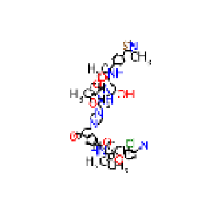 Cc1ncsc1-c1ccc([C@H](C)NC(=O)C2C[C@@H](O)CN2C(=O)[C@@H](NC(=O)CN2CCN(CCC3(c4ccc(C(=O)NC5C(C)(C)C(Oc6ccc(C#N)c(Cl)c6)C5(C)C)cc4)COC3)CC2)C(C)(C)C)cc1